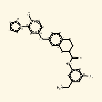 NCc1cc(NC(=O)C2CCc3ccc(Oc4cc[n+]([O-])c(-n5cccn5)c4)cc3C2)cc(C(F)(F)F)c1